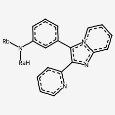 [Rb][N]([RaH])c1cccc(-c2c(-c3ccccn3)nc3ccccn23)c1